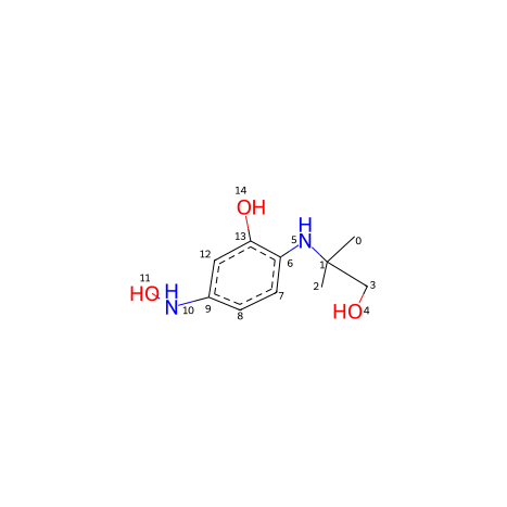 CC(C)(CO)Nc1ccc(NO)cc1O